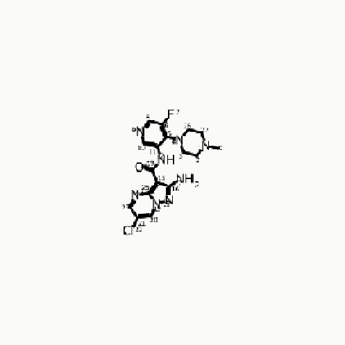 CN1CCN(c2c(F)cncc2NC(=O)c2c(N)nn3cc(Cl)cnc23)CC1